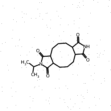 CC(C)N1C(=O)C2CCCC3C(=O)NC(=O)C3CCCC2C1=O